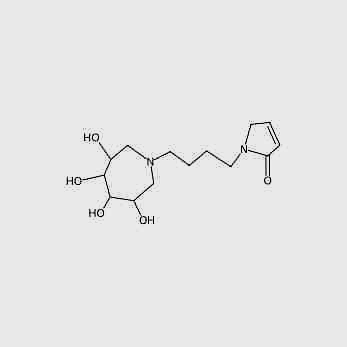 O=C1C=CCN1CCCCN1CC(O)C(O)C(O)C(O)C1